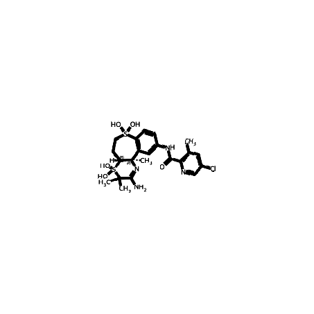 Cc1cc(Cl)cnc1C(=O)Nc1ccc2c(c1)[C@@]1(C)N=C(N)C(C)(C)S(O)(O)[C@@H]1CCS2(O)O